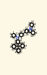 c1ccc(N(c2ccc(-c3ccc4c(c3)c3ccccc3n4-c3ccccc3)cc2)c2ccc(C(c3ccccc3)(c3ccccc3)c3ccccc3)cc2)cc1